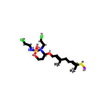 C/C(=C\COC1CCOP(=O)(NCCCl)N1CCCl)CC/C=C(\C)SI